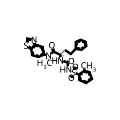 Cc1ccccc1S(=O)(=O)NC(=O)N[C@@H](CCc1ccccc1)C(=O)N(C)c1ccc2scnc2c1